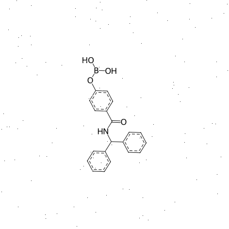 O=C(NC(c1ccccc1)c1ccccc1)c1ccc(OB(O)O)cc1